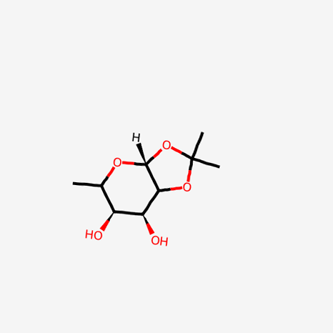 CC1O[C@@H]2OC(C)(C)OC2[C@@H](O)[C@H]1O